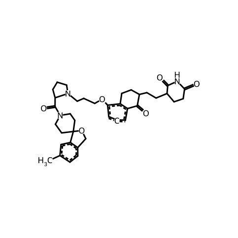 Cc1ccc2c(c1)C1(CCN(C(=O)C3CCCN3CCCOc3cccc4c3CCC(CCC3CCC(=O)NC3=O)C4=O)CC1)OC2